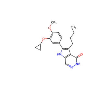 CCCCc1c(-c2ccc(OC)c(OC3CC3)c2)[nH]c2cn[nH]c(=O)c12